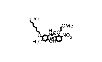 CCCCCCCCCCCCCCCCOc1cc(NS(=O)(=O)c2cccc([N+](=O)[O-])c2OCCOC)c(O)cc1C